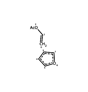 C=COC(C)=O.c1ccoc1